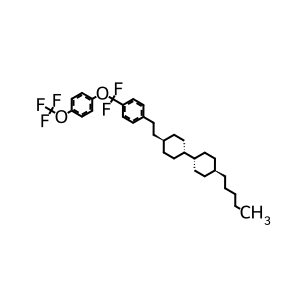 CCCCC[C@H]1CC[C@H]([C@H]2CC[C@H](CCc3ccc(C(F)(F)Oc4ccc(OC(F)(F)F)cc4)cc3)CC2)CC1